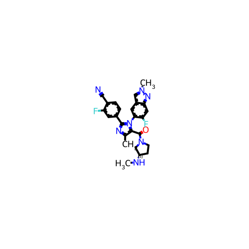 CN[C@H]1CCN(C(=O)c2c(C)nc(-c3ccc(C#N)c(F)c3)n2-c2cc3cn(C)nc3cc2F)C1